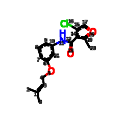 CC(C)=CCOc1cccc(NC(=O)c2c(Cl)coc2C)c1